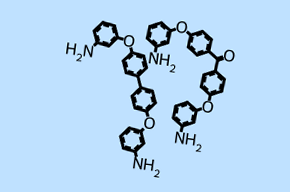 Nc1cccc(Oc2ccc(-c3ccc(Oc4cccc(N)c4)cc3)cc2)c1.Nc1cccc(Oc2ccc(C(=O)c3ccc(Oc4cccc(N)c4)cc3)cc2)c1